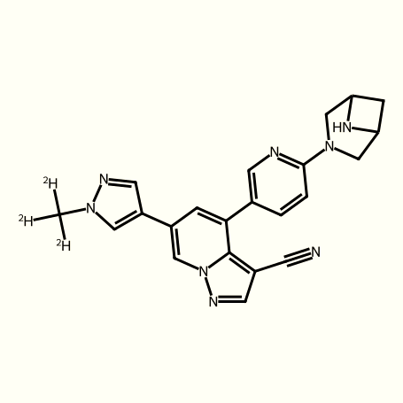 [2H]C([2H])([2H])n1cc(-c2cc(-c3ccc(N4CC5CC(C4)N5)nc3)c3c(C#N)cnn3c2)cn1